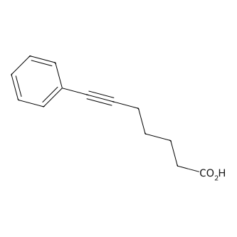 O=C(O)CCCCC#Cc1ccccc1